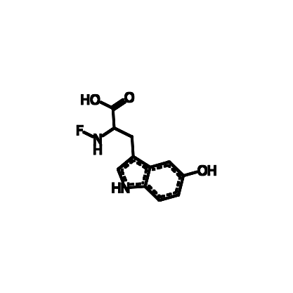 O=C(O)C(Cc1c[nH]c2ccc(O)cc12)NF